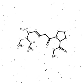 COC(=O)[C@@H]1CCCN1C(=O)C/C=C/[C@@H](C)[C@@H](CO)OC